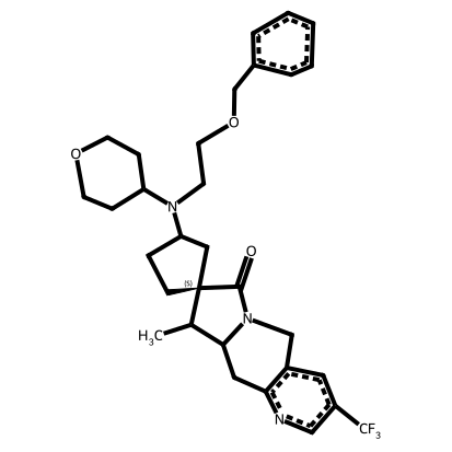 CC1C2Cc3ncc(C(F)(F)F)cc3CN2C(=O)[C@]12CCC(N(CCOCc1ccccc1)C1CCOCC1)C2